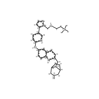 C[Si](C)(C)CCOCn1nccc1-c1ccc(Oc2ccc3nc(CN4C5CCC4CNC5)ccc3c2)nc1